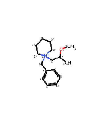 COC(C)C[N+]1(Cc2ccccc2)CCCCC1